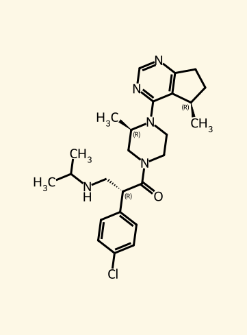 CC(C)NC[C@H](C(=O)N1CCN(c2ncnc3c2[C@H](C)CC3)[C@H](C)C1)c1ccc(Cl)cc1